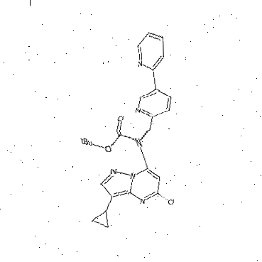 CC(C)(C)OC(=O)N(Cc1ccc(-c2ccccn2)cn1)c1cc(Cl)nc2c(C3CC3)cnn12